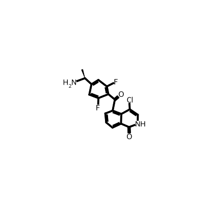 C[C@H](N)c1cc(F)c(C(=O)c2cccc3c(=O)[nH]cc(Cl)c23)c(F)c1